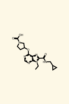 CCn1c(C(=O)NCC2CC2)nc2c(OC3CCN(C(=O)O)C3)ncnc21